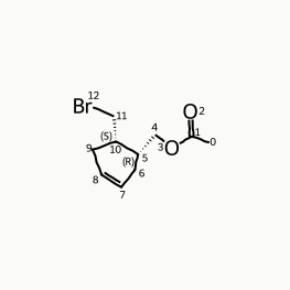 CC(=O)OC[C@@H]1CC=CC[C@@H]1CBr